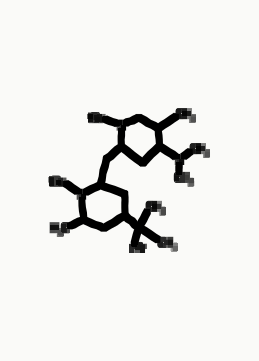 CCCC(C)(C)C1CC(C)N(C(C)(C)C)C(CC2CC(N(C)C)C(C)CN2C(C)(C)C)C1